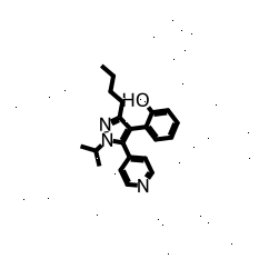 CCCCc1nn(C(C)C)c(-c2ccncc2)c1-c1ccccc1O